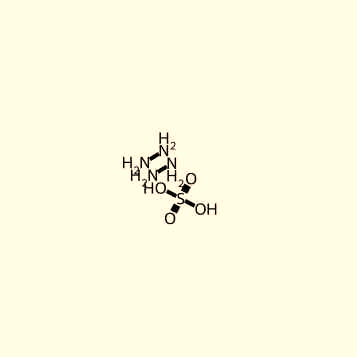 NN.NN.O=S(=O)(O)O